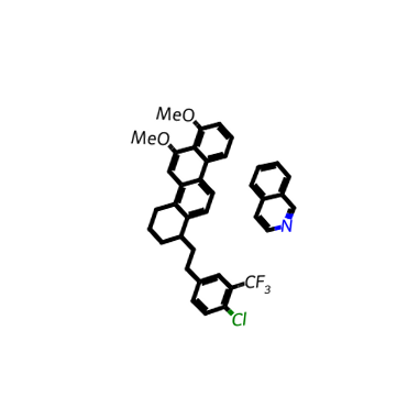 COc1cccc2c1c(OC)cc1c3c(ccc12)C(CCc1ccc(Cl)c(C(F)(F)F)c1)CCC3.c1ccc2cnccc2c1